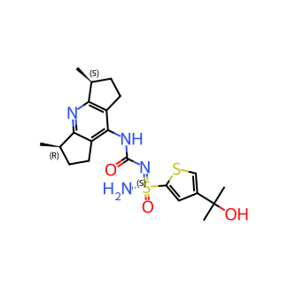 C[C@@H]1CCc2c1nc1c(c2NC(=O)N=[S@](N)(=O)c2cc(C(C)(C)O)cs2)CC[C@@H]1C